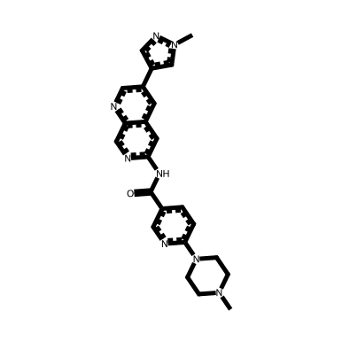 CN1CCN(c2ccc(C(=O)Nc3cc4cc(-c5cnn(C)c5)cnc4cn3)cn2)CC1